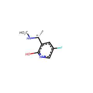 C[C@@H](NC(=O)O)c1cc(F)cnc1O